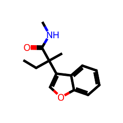 CCC(C)(C(=O)NC)c1coc2ccccc12